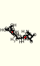 CN(CCNC(=S)Nc1ccc(CC2CN(CC(N)=O)CCN(CC=O)CCN(CC=O)CCN2CC(N)=O)cc1)CCNC(=S)Nc1ccc(CC2CN(CC(=O)O)CCN(CC(=O)O)CCN2CC(=O)O)cc1